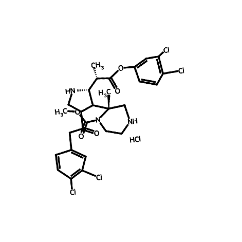 COC(=O)N1CCNC[C@@]1(C)C1C(C(=O)Cc2ccc(Cl)c(Cl)c2)CN[C@@H]1[C@H](C)C(=O)Oc1ccc(Cl)c(Cl)c1.Cl